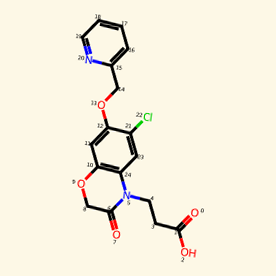 O=C(O)CCN1C(=O)COc2cc(OCc3ccccn3)c(Cl)cc21